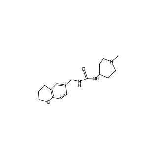 CN1CCC(NC(=O)NCc2ccc3c(c2)CCCO3)CC1